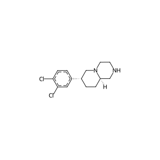 Clc1ccc([C@H]2CC[C@@H]3CNCCN3C2)cc1Cl